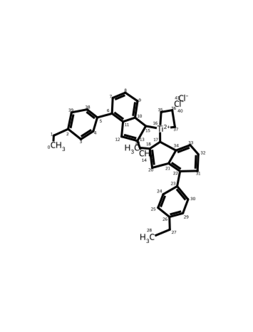 CCc1ccc(-c2cccc3c2C=C(C)[CH]3[Ti+2]2([CH]3C(C)=Cc4c(-c5ccc(CC)cc5)cccc43)[CH2]C[CH2]2)cc1.[Cl-].[Cl-]